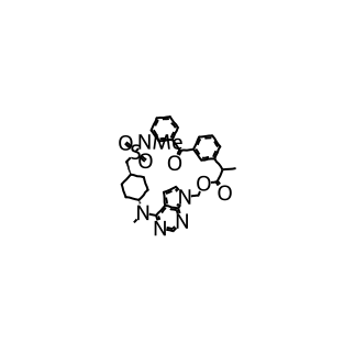 CNS(=O)(=O)C[C@H]1CC[C@H](N(C)c2ncnc3c2ccn3COC(=O)C(C)c2cccc(C(=O)c3ccccc3)c2)CC1